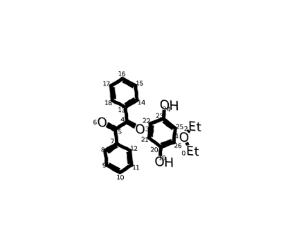 CCOCC.O=C(C(=O)c1ccccc1)c1ccccc1.Oc1ccc(O)cc1